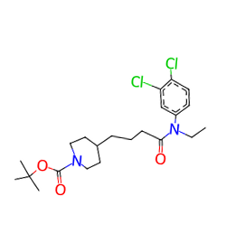 CCN(C(=O)CCCC1CCN(C(=O)OC(C)(C)C)CC1)c1ccc(Cl)c(Cl)c1